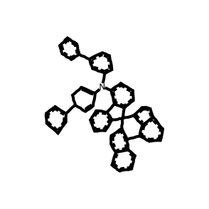 C1=CC(c2ccccc2)CC=C1N(c1cccc(-c2ccccc2)c1)c1cccc2c1-c1ccccc1C21c2ccc3ccccc3c2-c2cccc3cccc1c23